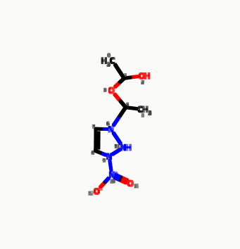 CC(O)OC(C)N1C=CN([N+](=O)[O-])N1